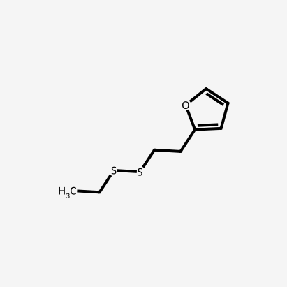 CCSSCCc1ccco1